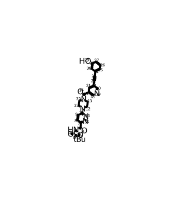 CC(C)(C)S(=O)(=O)NC(=O)c1ccc(N2CCN(C(=O)c3cncc(C#Cc4cccc(O)c4)c3)CC2)nn1